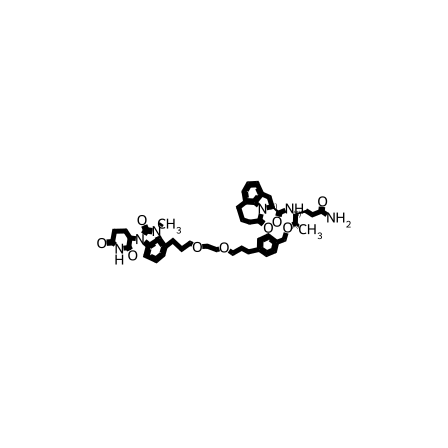 C[C@@H](OCc1ccc(CCCOCCOCCCc2cccc3c2n(C)c(=O)n3C2CCC(=O)NC2=O)cc1)[C@H](CCC(N)=O)NC(=O)[C@@H]1Cc2cccc3c2N1C(=O)CCC3